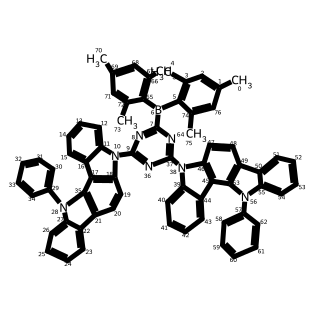 Cc1cc(C)c(B(c2nc(-n3c4ccccc4c4c3ccc3c5ccccc5n(-c5ccccc5)c34)nc(-n3c4ccccc4c4c3ccc3c5ccccc5n(-c5ccccc5)c34)n2)c2c(C)cc(C)cc2C)c(C)c1